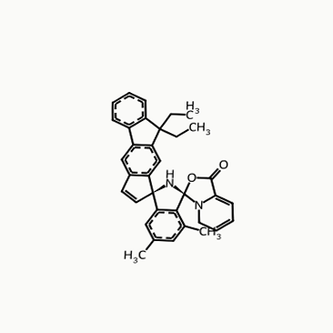 CCC1(CC)c2ccccc2-c2cc3c(cc21)[C@]1(C=C3)N[C@]2(OC(=O)C3=CC=CCN32)c2c(C)cc(C)cc21